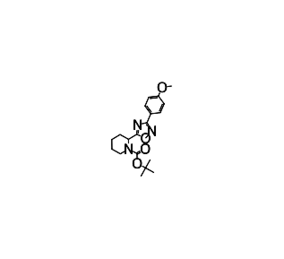 COc1ccc(-c2noc(C3CCCCN3C(=O)OC(C)(C)C)n2)cc1